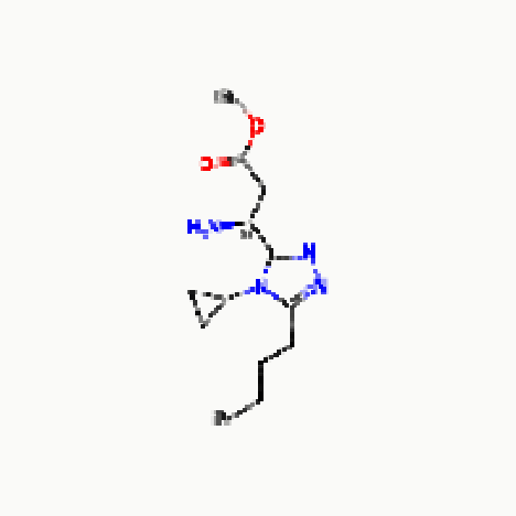 CC(C)CCCc1nnc([C@@H](N)CC(=O)OC(C)(C)C)n1C1CC1